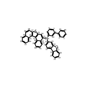 c1ccc(-c2cccc(N(c3ccc4c(c3)oc3ccccc34)c3cc4sc5ccc6ccccc6c5c4c4ccccc34)c2)cc1